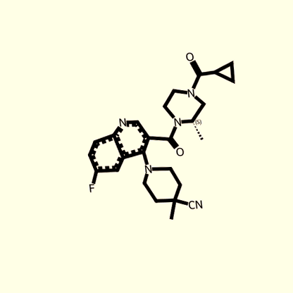 C[C@H]1CN(C(=O)C2CC2)CCN1C(=O)c1cnc2ccc(F)cc2c1N1CCC(C)(C#N)CC1